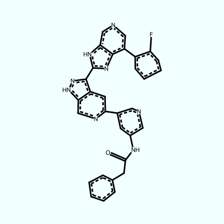 O=C(Cc1ccccc1)Nc1cncc(-c2cc3c(-c4nc5c(-c6ccccc6F)cncc5[nH]4)n[nH]c3cn2)c1